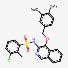 COc1ccc(COc2c(NS(=O)(=O)c3cccc(Cl)c3C)ncc3ccccc23)cc1OC